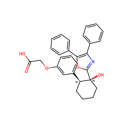 O=C(O)COc1cccc([C@@H]2CCCC[C@@]2(O)c2nc(-c3ccccc3)c(-c3ccccc3)o2)c1